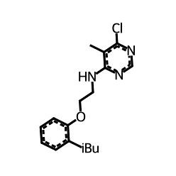 CCC(C)c1ccccc1OCCNc1ncnc(Cl)c1C